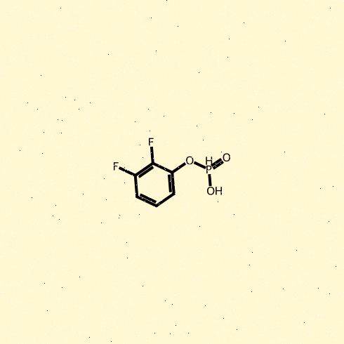 O=[PH](O)Oc1cccc(F)c1F